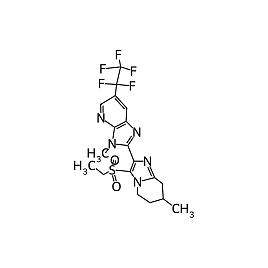 CCS(=O)(=O)c1c(-c2nc3cc(C(F)(F)C(F)(F)F)cnc3n2C)nc2n1CCC(C)C2